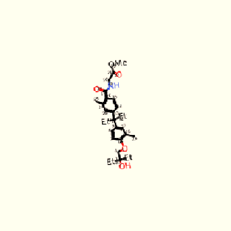 CCC(O)(CC)COc1ccc(C(CC)(CC)c2ccc(C(=O)NCC(=O)OC)c(C)c2)cc1C